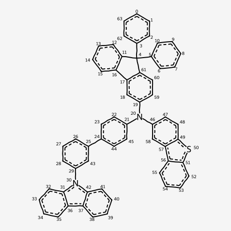 c1ccc(C2(c3ccccc3)c3ccccc3-c3cc(N(c4ccc(-c5cccc(-n6c7ccccc7c7ccccc76)c5)cc4)c4ccc5sc6ccccc6c5c4)ccc32)cc1